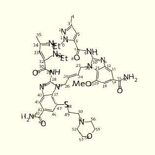 CCn1nc(C)cc1C(=O)Nc1nc2cc(C(N)=O)cc(OC)c2n1C/C=C/Cn1c(NC(=O)c2cc(C)nn2CC)nc2cc(C(N)=O)cc(SCCN3CCOCC3)c21